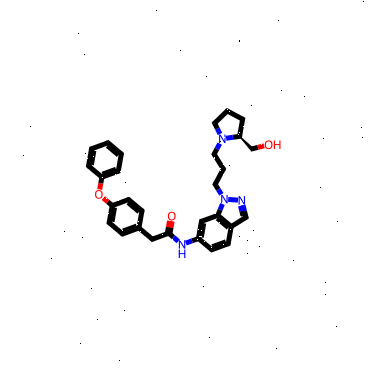 O=C(Cc1ccc(Oc2ccccc2)cc1)Nc1ccc2cnn(CCCN3CCC[C@H]3CO)c2c1